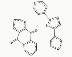 O=C1c2ccccc2C(=O)c2ccccc21.c1ccc(-c2csc(-c3ccccc3)n2)cc1